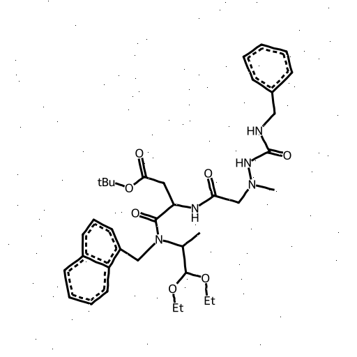 CCOC(OCC)C(C)N(Cc1cccc2ccccc12)C(=O)C(CC(=O)OC(C)(C)C)NC(=O)CN(C)NC(=O)NCc1ccccc1